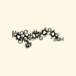 COC(=O)C1=C(CN2CCN3C(=O)N(c4ccc(Oc5ccc(C(C)(C)O)cc5)cc4)C[C@@H]3C2)NC(c2nccs2)=N[C@H]1c1ccc(F)cc1Cl